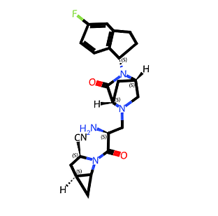 N#C[C@@H]1C[C@@H]2CC2N1C(=O)[C@@H](N)CN1C[C@@H]2C[C@H]1C(=O)N2[C@H]1CCc2cc(F)ccc21